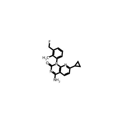 Cc1c(CF)cccc1-n1c(=O)nc(N)c2ccc(C3CC3)nc21